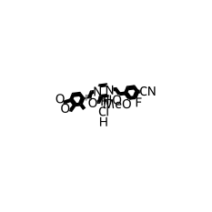 COc1c(C(O)CN2CCN3C[C@@H](c4ccc5c(c4C)COC5=O)OC[C@@H]3C2)ccc(C#N)c1F.Cl